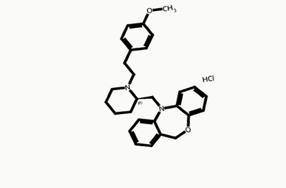 COc1ccc(CCN2CCCC[C@@H]2CN2c3ccccc3COc3ccccc32)cc1.Cl